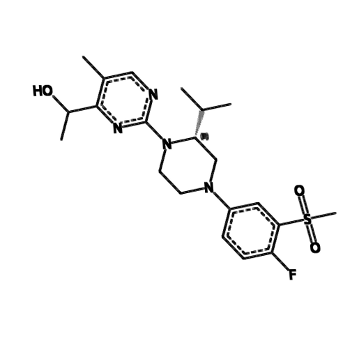 Cc1cnc(N2CCN(c3ccc(F)c(S(C)(=O)=O)c3)C[C@H]2C(C)C)nc1C(C)O